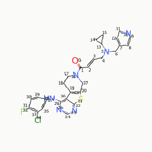 O=C(/C=C/CN(Cc1ccncc1)C1CC1)N1CCc2c(sc3ncnc(Nc4ccc(F)c(Cl)c4)c23)C1